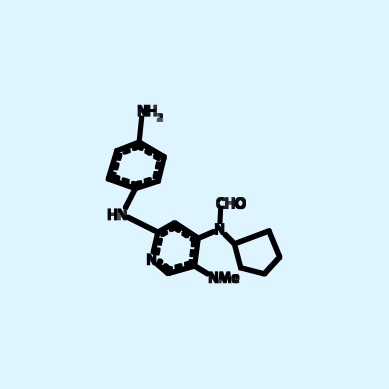 CNc1cnc(Nc2ccc(N)cc2)cc1N(C=O)C1CCCC1